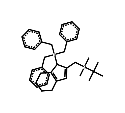 CC(C)(C)[Si](C)(C)CC1=CC2=C(CCCC2)[CH]1[Ti]([CH2]c1ccccc1)([CH2]c1ccccc1)[CH2]c1ccccc1